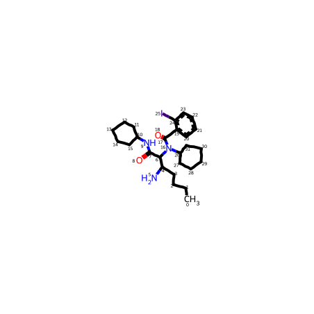 CCCCC(N)C(C(=O)NC1CCCCC1)N(C(=O)c1ccccc1I)C1CCCCC1